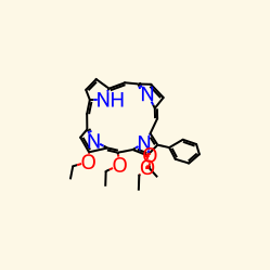 CCOC1=Cc2cc3ccc(cc4nc(cc5c(-c6ccccc6)c(OCC)c(c(OCC)c1n2)n5OCC)C=C4)[nH]3